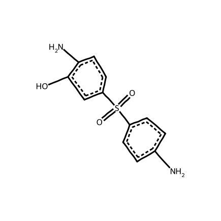 Nc1ccc(S(=O)(=O)c2ccc(N)c(O)c2)cc1